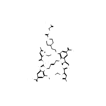 CCn1nc(C)cc1C(=O)Nc1nc2cc(C(N)=O)cc(OC)c2n1C/C=C/Cn1c2nc(-c3cc(C)nn3CC)ncc2c2cc(C(N)=O)cc(OCCC3CCN(C(=O)OCC(=O)O)CC3)c21